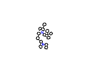 c1ccc(-c2ccc(N(c3cccc(-c4cccc(-c5ccc6c(c5)c5ccccc5n6-c5cccc6ccccc56)c4)c3)c3ccc4c(c3)C(c3ccccc3)(c3ccccc3)c3ccccc3-4)c3ccccc23)cc1